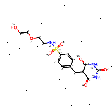 O=C1NC(=O)C(Cc2ccc(S(=O)(=O)NCCOCCO)cc2)C(=O)N1